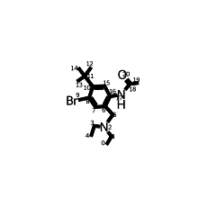 CCN(CC)Cc1cc(Br)c(C(C)(C)C)cc1NC(C)=O